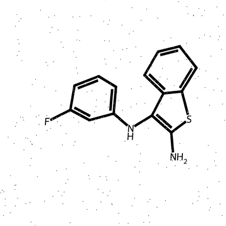 Nc1sc2ccccc2c1Nc1cccc(F)c1